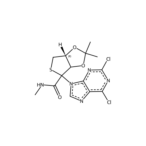 CNC(=O)C1(n2cnc3c(Cl)nc(Cl)nc32)SC[C@@H]2OC(C)(C)OC21